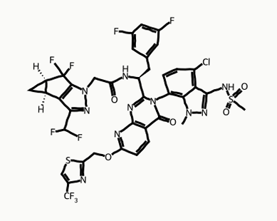 Cn1nc(NS(C)(=O)=O)c2c(Cl)ccc(-n3c([C@H](Cc4cc(F)cc(F)c4)NC(=O)Cn4nc(C(F)F)c5c4C(F)(F)[C@@H]4C[C@H]54)nc4nc(OCc5nc(C(F)(F)F)cs5)ccc4c3=O)c21